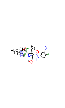 Cc1c(C(=O)Nc2ccc(F)c(C#N)c2)c2n(c1C(F)(F)C(=O)NC(C)(C)C)CCOC2